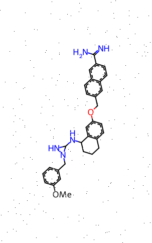 COc1cccc(CN2NC2NC2CCCc3ccc(OCc4ccc5cc(C(=N)N)ccc5c4)cc32)c1